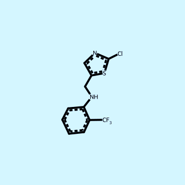 FC(F)(F)c1ccccc1NCc1cnc(Cl)s1